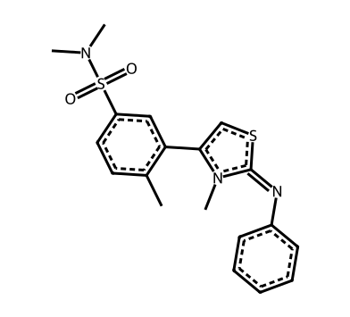 Cc1ccc(S(=O)(=O)N(C)C)cc1-c1csc(=Nc2ccccc2)n1C